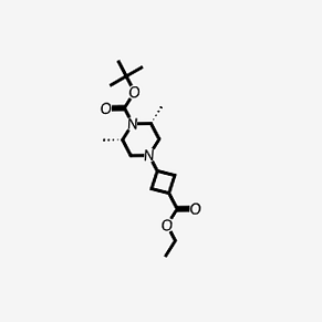 CCOC(=O)C1CC(N2C[C@@H](C)N(C(=O)OC(C)(C)C)[C@@H](C)C2)C1